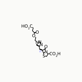 O=C(O)CCC(=O)OCCn1cc(/C=C2\C(=O)N3C(C(=O)O)CSC23)nn1